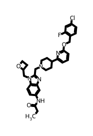 CCC(=O)Nc1ccc2c(c1)nc(CN1CCC(c3cccc(OCc4ccc(Cl)cc4F)n3)CC1)n2CC1CCO1